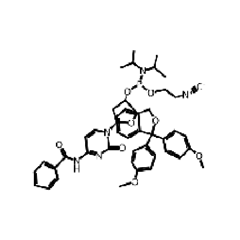 [C-]#[N+]CCOP(O[C@@H]1C[C@H](n2ccc(NC(=O)c3ccccc3)nc2=O)O[C@@H]1COC(c1ccccc1)(c1ccc(OC)cc1)c1ccc(OC)cc1)N(C(C)C)C(C)C